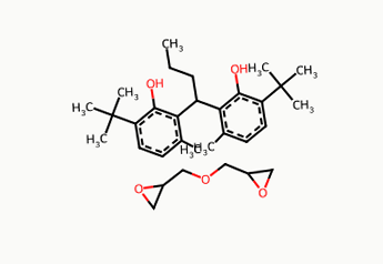 C(OCC1CO1)C1CO1.CCCC(c1c(C)ccc(C(C)(C)C)c1O)c1c(C)ccc(C(C)(C)C)c1O